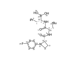 CC(C)C[C@@H](NC(=O)[C@H](CC(C)(C)C)NC(=O)[C@@H]1CCN1c1ccc(F)cc1)B(O)O